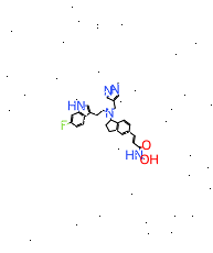 Cn1cc(CN(CCc2c[nH]c3cc(F)ccc23)C2CCc3cc(C=CC(=O)NO)ccc32)cn1